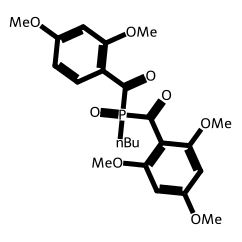 CCCCP(=O)(C(=O)c1ccc(OC)cc1OC)C(=O)c1c(OC)cc(OC)cc1OC